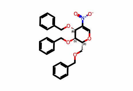 O=[N+]([O-])C1=CO[C@H](COCc2ccccc2)[C@@H](OCc2ccccc2)[C@@H]1OCc1ccccc1